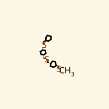 CSC[C@H]1CC[C@@H](CSC[C@H]2CC[C@@H](CSCC3CCCCC3)CC2)CC1